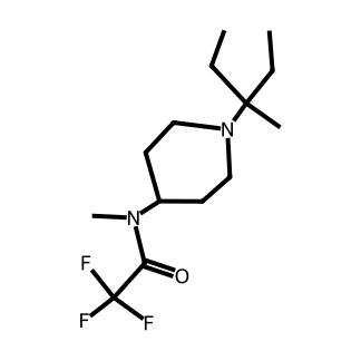 CCC(C)(CC)N1CCC(N(C)C(=O)C(F)(F)F)CC1